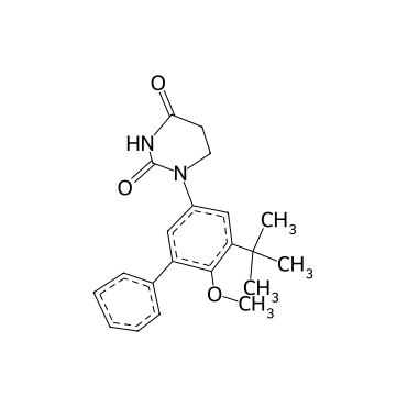 COc1c(-c2ccccc2)cc(N2CCC(=O)NC2=O)cc1C(C)(C)C